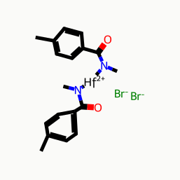 Cc1ccc(C(=O)[N](C)[Hf+2][N](C)C(=O)c2ccc(C)cc2)cc1.[Br-].[Br-]